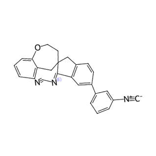 [C-]#[N+]c1cccc(-c2ccc3c(c2)/C(=N/C#N)C2(CCOc4ccccc4C2)C3)c1